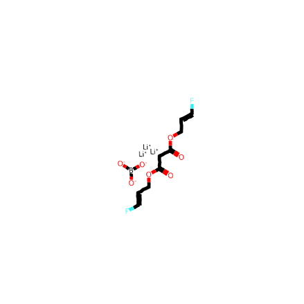 O=C(CC(=O)OCC=CF)OCC=CF.[Li+].[Li+].[Li+].[O-]B([O-])[O-]